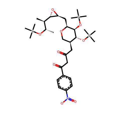 C[C@@H]([C@@H]1O[C@H]1C[C@@H]1OC[C@H](CC(=O)CC(=O)c2ccc([N+](=O)[O-])cc2)[C@@H](O[Si](C)(C)C)[C@@H]1O[Si](C)(C)C)[C@H](C)O[Si](C)(C)C